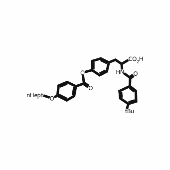 CCCCCCCOc1ccc(C(=O)Oc2ccc(CC(NC(=O)c3ccc(C(C)(C)C)cc3)C(=O)O)cc2)cc1